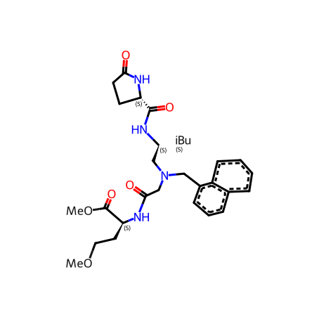 CC[C@H](C)[C@@H](CN(CC(=O)N[C@@H](CCOC)C(=O)OC)Cc1cccc2ccccc12)NC(=O)[C@@H]1CCC(=O)N1